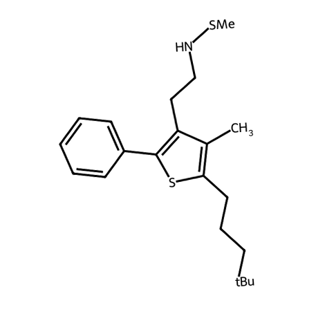 CSNCCc1c(-c2ccccc2)sc(CCCC(C)(C)C)c1C